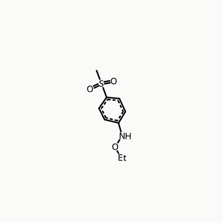 CCONc1ccc(S(C)(=O)=O)cc1